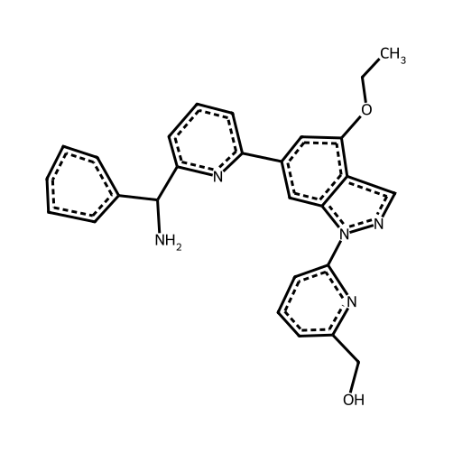 CCOc1cc(-c2cccc(C(N)c3ccccc3)n2)cc2c1cnn2-c1cccc(CO)n1